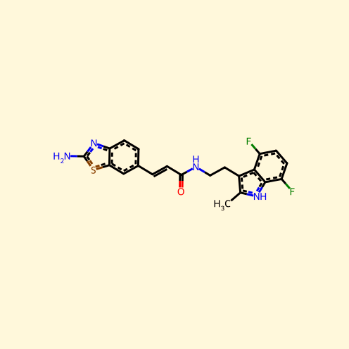 Cc1[nH]c2c(F)ccc(F)c2c1CCNC(=O)C=Cc1ccc2nc(N)sc2c1